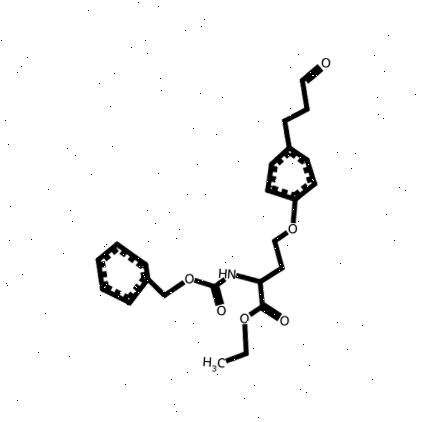 CCOC(=O)C(CCOc1ccc(CCC=O)cc1)NC(=O)OCc1ccccc1